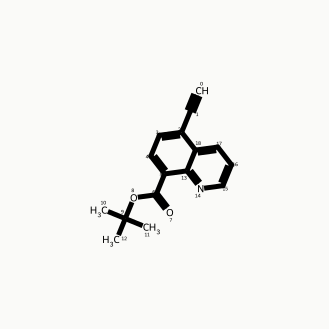 C#Cc1ccc(C(=O)OC(C)(C)C)c2ncccc12